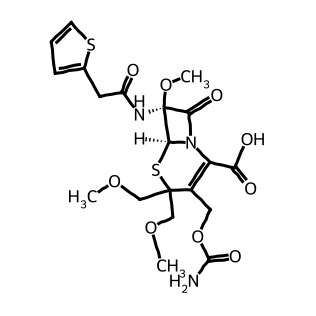 COCC1(COC)S[C@@H]2N(C(=O)[C@]2(NC(=O)Cc2cccs2)OC)C(C(=O)O)=C1COC(N)=O